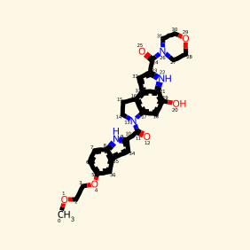 COCCOc1ccc2[nH]c(C(=O)N3CCc4c3cc(O)c3[nH]c(C(=O)N5CCOCC5)cc43)cc2c1